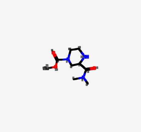 CN(C)C(=O)C1CN(C(=O)OC(C)(C)C)CCN1